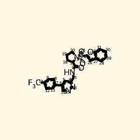 O=C(NCc1cc(-c2ccc(C(F)(F)F)cc2)cnn1)C1CCCN1S(=O)(=O)c1cc2ccccc2o1